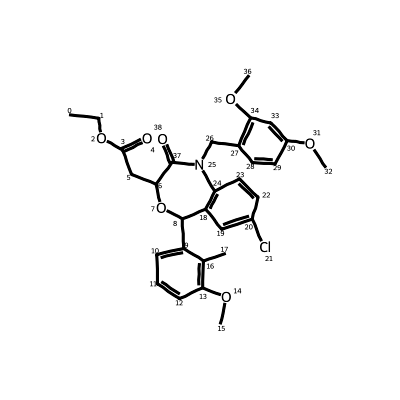 CCOC(=O)CC1OC(c2cccc(OC)c2C)c2cc(Cl)ccc2N(Cc2ccc(OC)cc2OC)C1=O